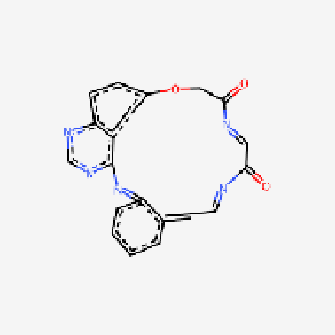 O=C1/C=N/C(=O)COc2ccc3ncnc(c3c2)\N=c2/cccc/c2=C\C=N\1